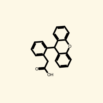 O=C(O)Cc1ccccc1C1c2ccccc2Oc2ccccc21